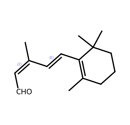 CC1=C(/C=C/C(C)=C\C=O)C(C)(C)CCC1